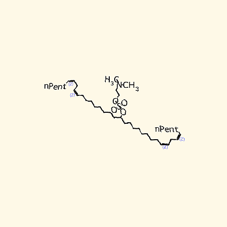 CCCCC/C=C\C/C=C\CCCCCCCCC(CCCCCCCC/C=C\C/C=C\CCCCC)OS(=O)(=O)OCCN(C)C